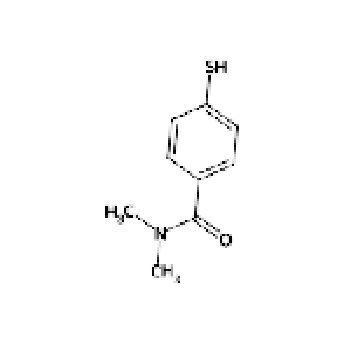 CN(C)C(=O)c1ccc(S)cc1